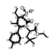 CCOC(=O)C(CC(C)(C)C)n1c(-c2ccc(C)cc2)c(C)c(CC)c([N+](=O)[O-])c1=O